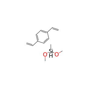 C=Cc1ccc(C=C)cc1.CO[SiH](C)OC